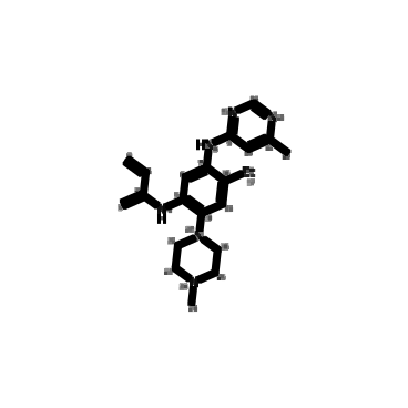 C=CC(=C)Nc1cc(Nc2cc(C)ncn2)c(CC)cc1N1CCN(C)CC1